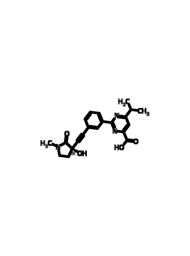 CC(C)c1cc(C(=O)O)nc(-c2cccc(C#C[C@]3(O)CCN(C)C3=O)c2)n1